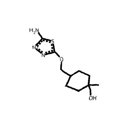 CC1(O)CCC(COc2nnc(N)s2)CC1